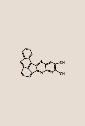 N#Cc1nc2nc3c(nc2nc1C#N)-c1c2ccccc2cc2cccc-3c12